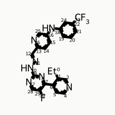 CCc1cnccc1-c1nc(N/N=C/c2ccc(Nc3cccc(C(F)(F)F)c3)cn2)ncc1F